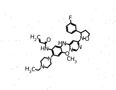 C=CC(=O)Nc1cc(Nc2cc(N3OCCC3c3cccc(F)c3)ncn2)c(OC)cc1N1CCN(CC)CC1